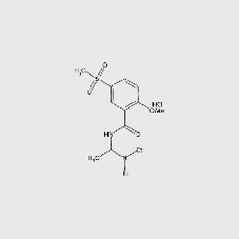 CCN(CC)C(C)NC(=O)c1cc(S(C)(=O)=O)ccc1OC.Cl